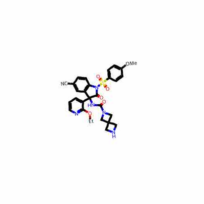 CCOc1ncccc1C1(NC(=O)N2CC3(CNC3)C2)C(=O)N(S(=O)(=O)c2ccc(OC)cc2)c2ccc(C#N)cc21